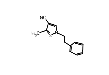 Cc1nn(CCc2ccccc2)cc1C#N